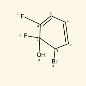 OC1(F)C(F)=CC=CC1Br